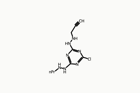 C#CCNNc1nc(Cl)nc(NNCCC)n1